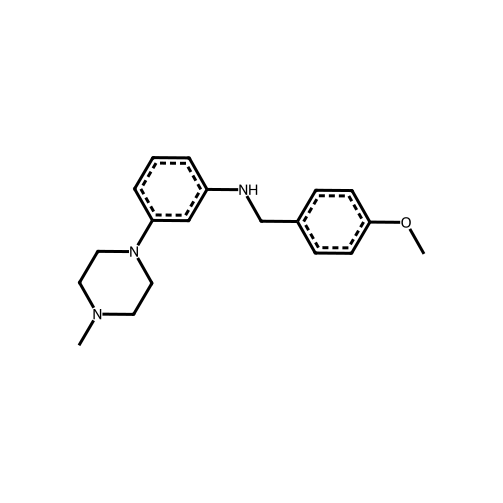 COc1ccc(CNc2cccc(N3CCN(C)CC3)c2)cc1